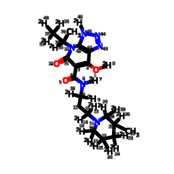 [2H]Oc1c(C(=O)N([2H])C([2H])([2H])CC([2H])([2H])N2C([2H])([2H])C([2H])([2H])C([2H])([2H])C([2H])(C)C2([2H])[2H])c(=O)n(C([2H])(C)C([2H])([2H])[2H])c2c1nnn2[2H]